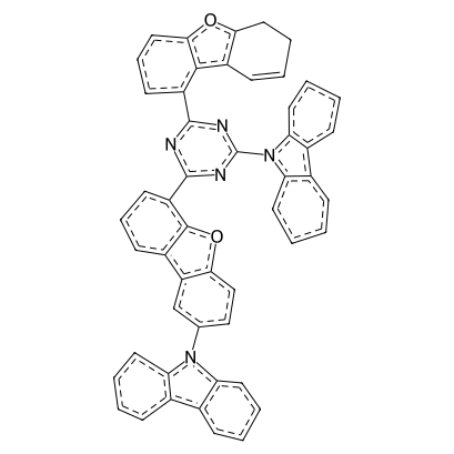 C1=Cc2c(oc3cccc(-c4nc(-c5cccc6c5oc5ccc(-n7c8ccccc8c8ccccc87)cc56)nc(-n5c6ccccc6c6ccccc65)n4)c23)CC1